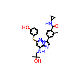 Cc1cc(-c2cnc3c(NCC(C)(C)O)cc(Sc4cccc(O)c4)nn23)ccc1C(=O)NC1CC1